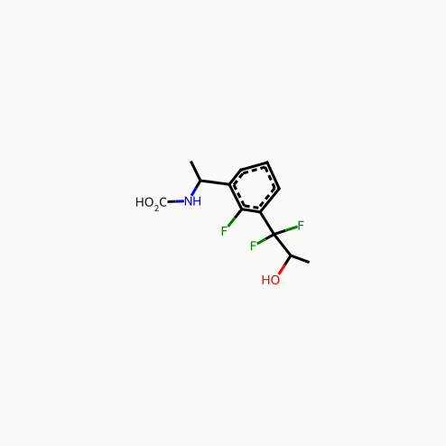 CC(NC(=O)O)c1cccc(C(F)(F)C(C)O)c1F